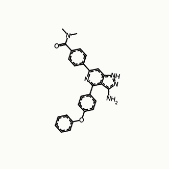 CN(C)C(=O)c1ccc(-c2cc3[nH]nc(N)c3c(-c3ccc(Oc4ccccc4)cc3)n2)cc1